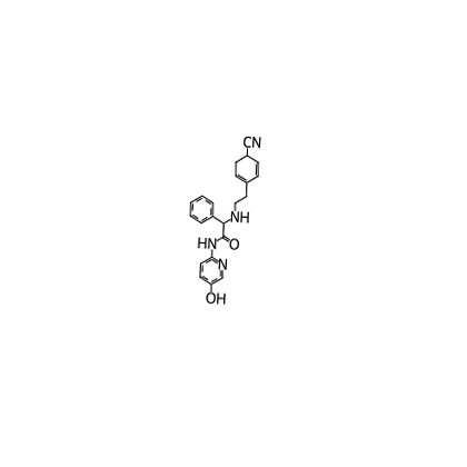 N#CC1C=CC(CCNC(C(=O)Nc2ccc(O)cn2)c2ccccc2)=CC1